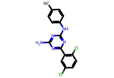 N#Cc1ccc(Nc2nc(N)nc(-c3cc(Cl)ccc3Cl)n2)cc1